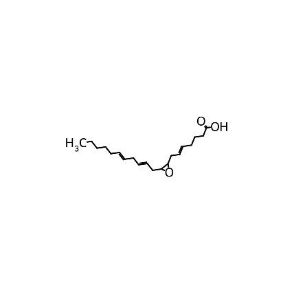 CCCCC/C=C/C/C=C/CC1OC1C/C=C/CCCC(=O)O